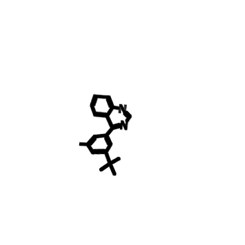 Cc1cc(-c2ncnc3ccccc23)cc(C(C)(C)C)c1